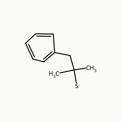 CC(C)([S])Cc1ccccc1